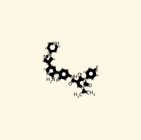 CC(C)n1cc(C(=O)Nc2ccc(-c3cc(-c4cnn(C5CCNCC5)c4)cnc3N)c(F)c2)c(=O)n(-c2ccc(F)cc2)c1=O